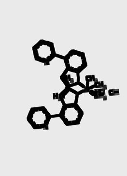 CC1=Cc2c(-c3ccccn3)cccc2[CH]1[Zr]([CH3])([CH3])(=[SiH2])[CH]1C(C)=Cc2c(-c3ccccn3)cccc21.Cl.Cl